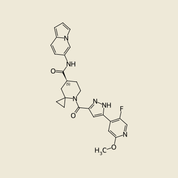 COc1cc(-c2cc(C(=O)N3CC[C@H](C(=O)Nc4ccc5cccn5c4)CC34CC4)n[nH]2)c(F)cn1